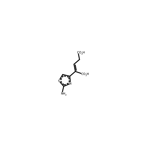 Nc1nc(C(=CCC(=O)O)C(=O)O)cs1